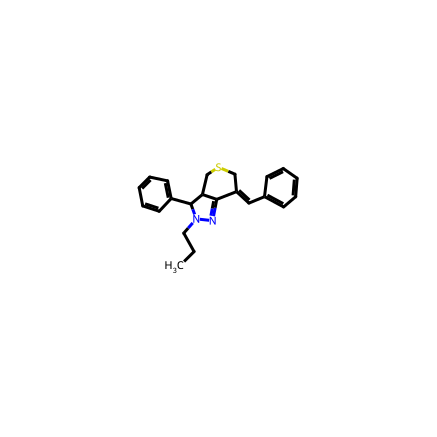 CCCN1N=C2C(=Cc3ccccc3)CSCC2C1c1ccccc1